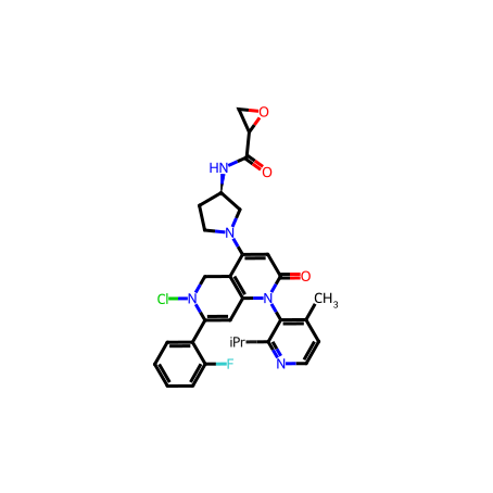 Cc1ccnc(C(C)C)c1-n1c2c(c(N3CC[C@@H](NC(=O)C4CO4)C3)cc1=O)CN(Cl)C(c1ccccc1F)=C2